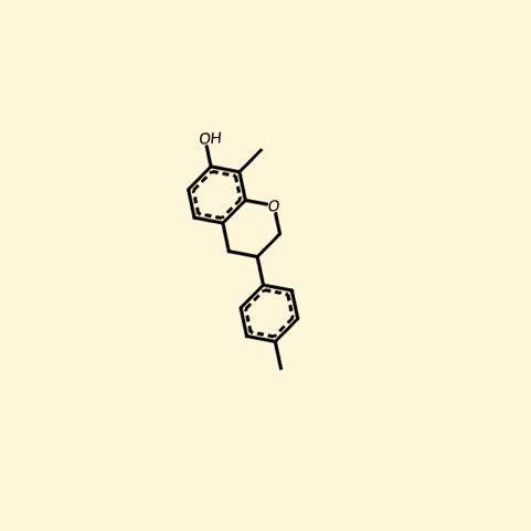 Cc1ccc(C2COc3c(ccc(O)c3C)C2)cc1